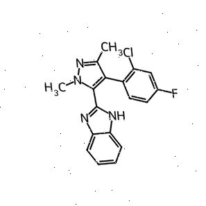 Cc1nn(C)c(-c2nc3ccccc3[nH]2)c1-c1ccc(F)cc1Cl